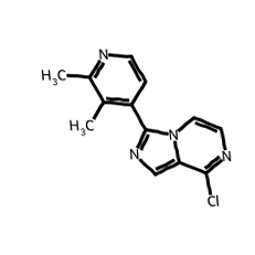 Cc1nccc(-c2ncc3c(Cl)nccn23)c1C